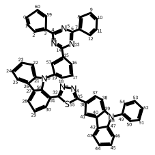 c1ccc(-c2nc(-c3ccccc3)nc(-c3cccc(-n4c5ccccc5c5cccc(-c6nnc(-c7ccc8c(c7)c7ccccc7n8-c7ccccc7)s6)c54)c3)n2)cc1